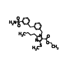 CCCCc1nc(SC)c(C(=O)OCC)n1Cc1cccc(Cc2cccc(S(N)(=O)=O)c2)c1